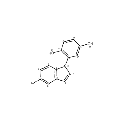 Cc1ccc2c(cnn2-c2cc(O)ccc2O)c1